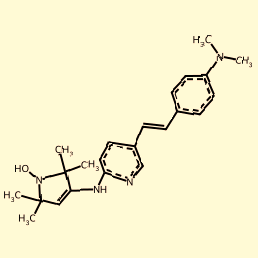 CN(C)c1ccc(/C=C/c2ccc(NC3=CC(C)(C)N(O)C3(C)C)nc2)cc1